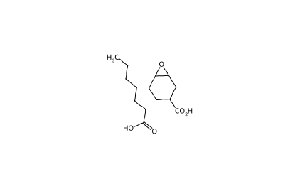 CCCCCCC(=O)O.O=C(O)C1CCC2OC2C1